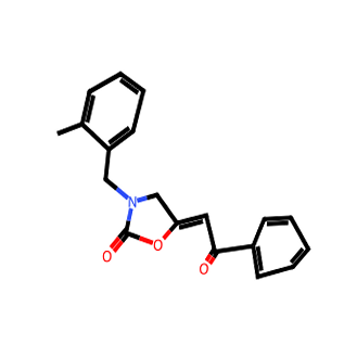 Cc1ccccc1CN1CC(=CC(=O)c2ccccc2)OC1=O